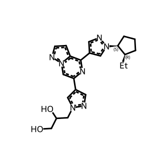 CC[C@@H]1CCC[C@@H]1n1cc(-c2nc(-c3cnn(CC(O)CO)c3)cn3nccc23)cn1